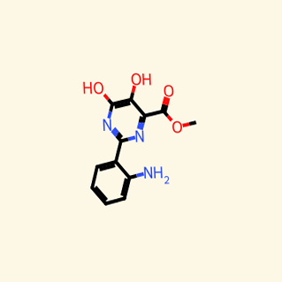 COC(=O)c1nc(-c2ccccc2N)nc(O)c1O